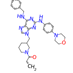 C=CC(=O)N1CCCC(Cn2cnc3c(NCc4ccccc4)nc(Nc4ccc(N5CCOCC5)cc4)nc32)C1